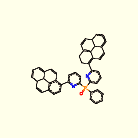 O=P(c1ccccc1)(c1cccc(C2=C3C=CC4=C=C=CC5C=CC(=C3C45)CC2)n1)c1cccc(-c2ccc3c4c2C=CC2=CC=CC(C=C3)C24)n1